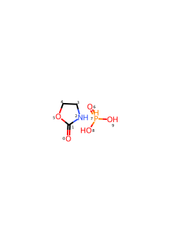 O=C1NCCO1.O=[PH](O)O